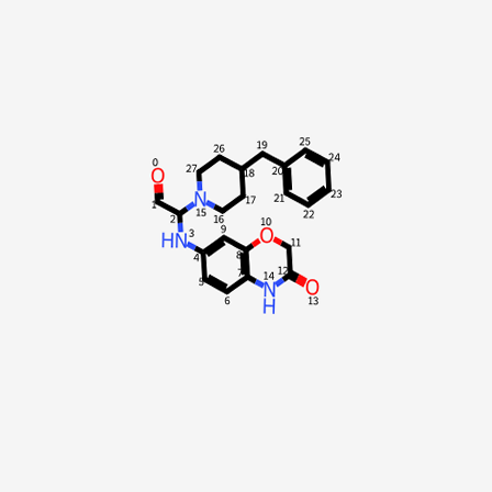 O=CC(Nc1ccc2c(c1)OCC(=O)N2)N1CCC(Cc2ccccc2)CC1